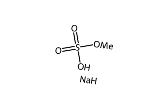 COS(=O)(=O)O.[NaH]